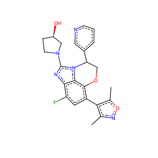 Cc1noc(C)c1-c1cc(F)c2nc(N3CC[C@@H](O)C3)n3c2c1OCC3c1cccnc1